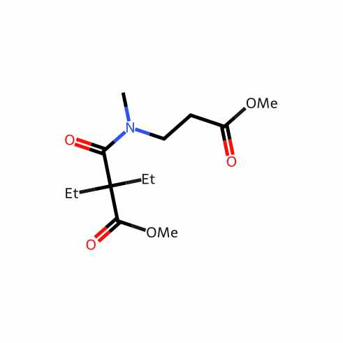 CCC(CC)(C(=O)OC)C(=O)N(C)CCC(=O)OC